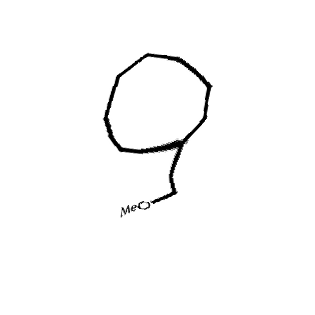 COC[C]1CCCCCCC1